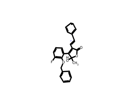 CC1(O)OC(=O)C(/C=C/c2ccccc2)=C1c1cccc(F)c1OCc1ccccc1